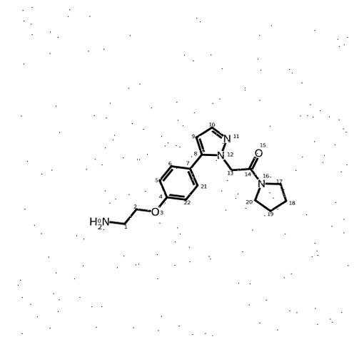 NCCOc1ccc(-c2ccnn2CC(=O)N2CCCC2)cc1